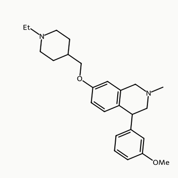 CCN1CCC(COc2ccc3c(c2)CN(C)CC3c2cccc(OC)c2)CC1